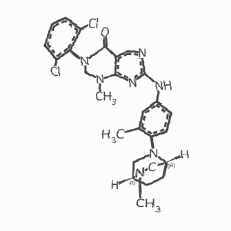 Cc1cc(Nc2ncc3c(n2)N(C)CN(c2c(Cl)cccc2Cl)C3=O)ccc1N1C[C@H]2CC[C@@H]1CN2C